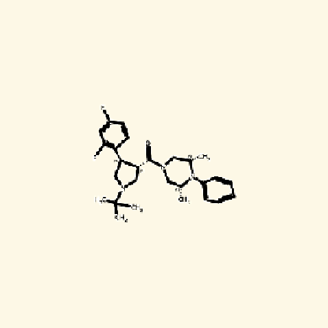 C[C@@H]1CN(C(=O)[C@@H]2CN(C(C)(C)C)C[C@H]2c2ccc(F)cc2F)C[C@H](C)N1c1ccccc1